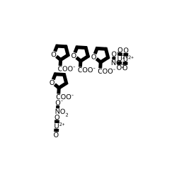 O=C([O-])C1CCCO1.O=C([O-])C1CCCO1.O=C([O-])C1CCCO1.O=C([O-])C1CCCO1.O=[N+]([O-])[O-].O=[N+]([O-])[O-].[O]=[U+2]=[O].[O]=[U+2]=[O].[O]=[U+2]=[O]